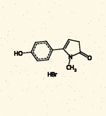 Br.CN1C(=O)CC=C1c1ccc(O)cc1